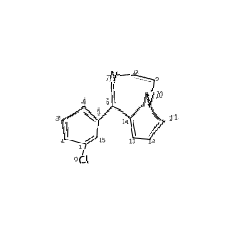 Clc1cccc(-c2nccn3cccc23)c1